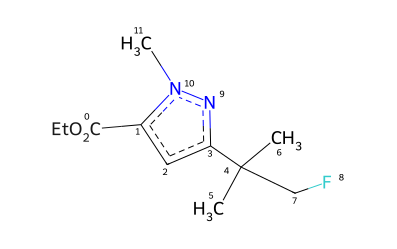 CCOC(=O)c1cc(C(C)(C)CF)nn1C